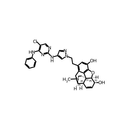 CN1CC[C@]23c4c5c(CCn6cc(Nc7ncc(Cl)c(Nc8ccccc8)n7)cn6)cc(O)c4O[C@H]2[C@@H](O)C=C[C@H]3[C@H]1C5